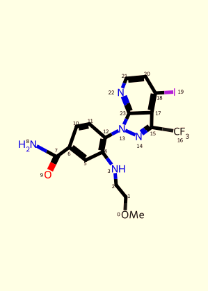 COCCNc1cc(C(N)=O)ccc1-n1nc(C(F)(F)F)c2c(I)ccnc21